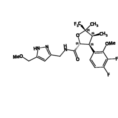 COCc1cc(CNC(=O)[C@@H]2O[C@@](C)(C(F)(F)F)[C@@H](C)[C@H]2c2ccc(F)c(F)c2OC)n[nH]1